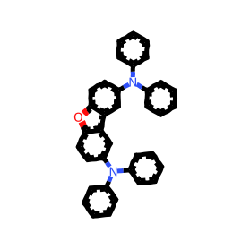 c1ccc(N(c2ccccc2)c2ccc3oc4ccc(N(c5ccccc5)c5ccccc5)cc4c3c2)cc1